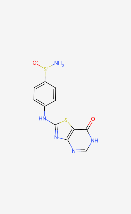 N[S+]([O-])c1ccc(Nc2nc3nc[nH]c(=O)c3s2)cc1